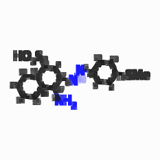 CSc1ccc(/N=N/c2cc(S(=O)(=O)O)c3ccccc3c2N)cc1